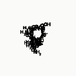 CC[C@H](C)[C@H](NC(=O)CN(C(=O)[C@@H]1CC[S+]([O-])CCC(=O)N[C@@H](Cc2ccc(O)cc2)C(=O)N[C@@H]([C@@H](C)CC)C(=O)N[C@@H](CCC(N)=O)C(=O)N[C@@H](CC(N)=O)C(=O)N1)C1CC1)C(=O)NCC(N)=O